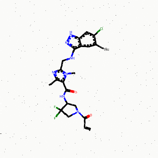 C=CC(=O)N1CC(NC(=O)c2c(C)nc(CNc3n[nH]c4cc(Cl)c(C(C)(C)C)cc34)n2C)C(F)(F)C1